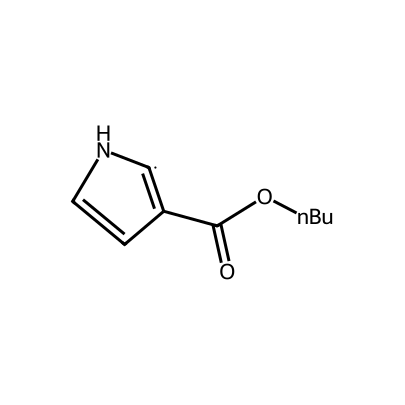 CCCCOC(=O)c1[c][nH]cc1